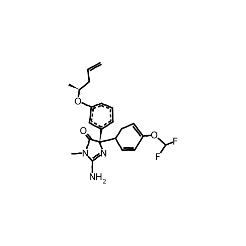 C=CC[C@H](C)Oc1cccc([C@@]2(C3C=CC(OC(F)F)=CC3)N=C(N)N(C)C2=O)c1